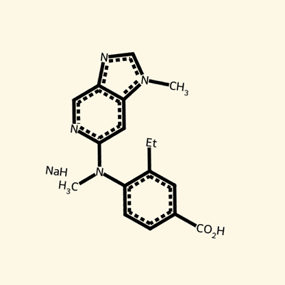 CCc1cc(C(=O)O)ccc1N(C)c1cc2c(cn1)ncn2C.[NaH]